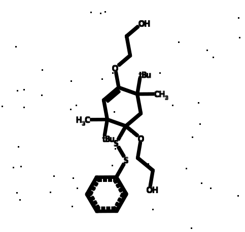 CC(C)(C)C1(C)CC(OCCO)(SSc2ccccc2)C(C)(C(C)(C)C)C=C1OCCO